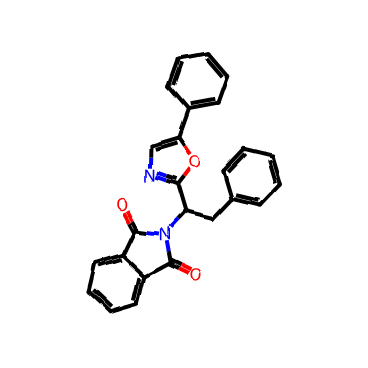 O=C1c2ccccc2C(=O)N1C(Cc1ccccc1)c1ncc(-c2ccccc2)o1